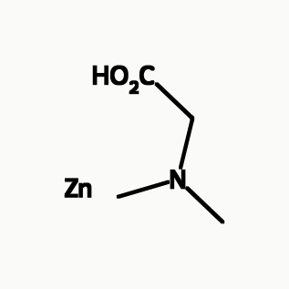 CN(C)CC(=O)O.[Zn]